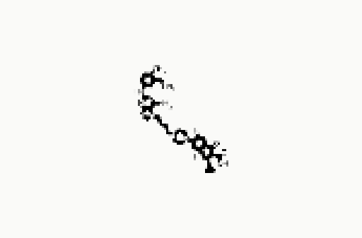 CCc1cc(Nc2nc(N)c3c(ncn3CCCCN3CCN(c4cc5[nH]c(C6CC6)c(C(=O)O)c(=O)c5cc4F)CC3)n2)ccc1C